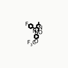 Cc1cnc2c(=O)n(-c3ccc(OC(F)(F)F)cc3)nc(-c3ccc(F)cc3)c2c1